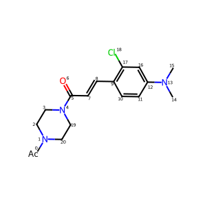 CC(=O)N1CCN(C(=O)/C=C/c2ccc(N(C)C)cc2Cl)CC1